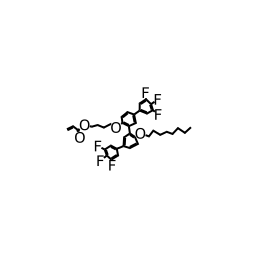 C=CC(=O)OCCCCOc1ccc(-c2cc(F)c(F)c(F)c2)cc1-c1cc(-c2cc(F)c(F)c(F)c2)ccc1OCCCCCCCC